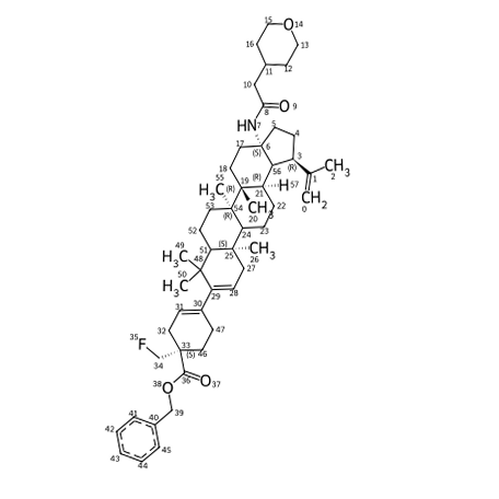 C=C(C)[C@@H]1CC[C@]2(NC(=O)CC3CCOCC3)CC[C@]3(C)[C@H](CCC4[C@@]5(C)CC=C(C6=CC[C@](CF)(C(=O)OCc7ccccc7)CC6)C(C)(C)C5CC[C@]43C)C12